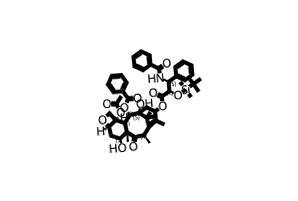 CC(=O)O[C@@]12CO[C@@H]1C[C@H](O)[C@@]1(C)C(=O)[C@H](C)C3=C(C)C(OC(=O)[C@H](O[Si](C)(C)C(C)(C)C)[C@@H](NC(=O)c4ccccc4)c4ccccc4)C[C@@](O)([C@@H](OC(=O)c4ccccc4)[C@H]21)C3(C)C